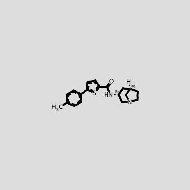 Cc1ccc(-c2ccc(C(=O)N[C@@H]3C[C@H]4CCN(C4)C3)s2)cc1